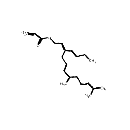 C=CC(=O)OCC=C(CCCC)CCCC(C)CCCC(C)C